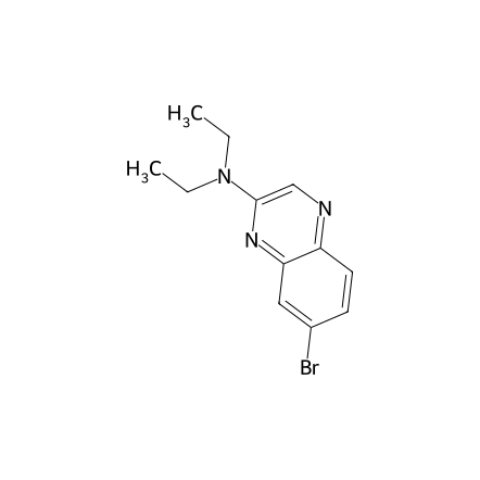 CCN(CC)c1cnc2ccc(Br)cc2n1